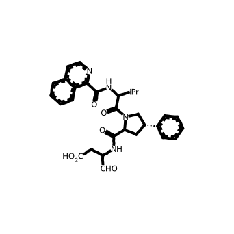 CC(C)C(NC(=O)c1nccc2ccccc12)C(=O)N1C[C@H](c2ccccc2)CC1C(=O)NC(C=O)CC(=O)O